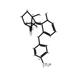 CC1C=CC=C(Cc2ccc(C(=O)O)cc2)C1=C1C(=O)C2CCC1(C)C2(C)C